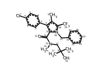 Cc1c(-c2ccc(Cl)cc2)c(C(=O)N(C)CC(C)(C)O)n(Cc2ccccc2)c1C(F)(F)F